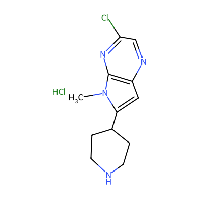 Cl.Cn1c(C2CCNCC2)cc2ncc(Cl)nc21